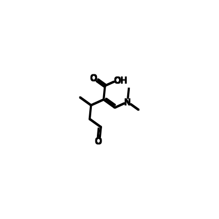 CC(CC=O)C(=CN(C)C)C(=O)O